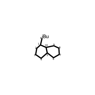 CCC(C)C1CCCC2CCCCC21